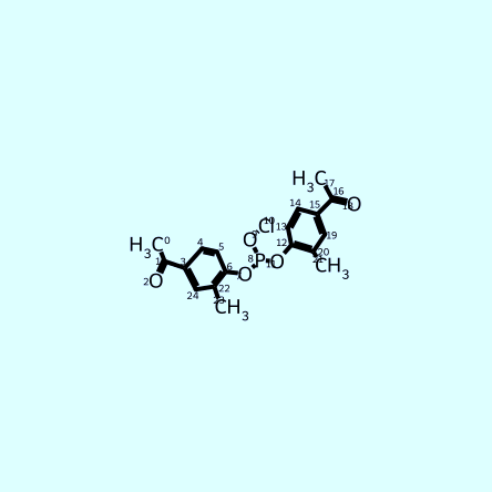 CC(=O)c1ccc(OP(OCl)Oc2ccc(C(C)=O)cc2C)c(C)c1